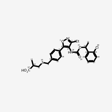 CCc1noc(-c2ccc(CSCC(C)C(=O)O)cc2)c1NC(=O)OC(C)c1ccccc1Cl